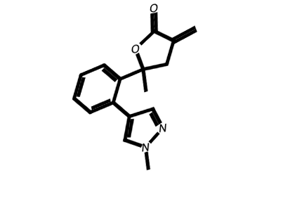 C=C1CC(C)(c2ccccc2-c2cnn(C)c2)OC1=O